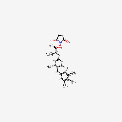 C=C(ON1C(=O)CCC1=O)C(Cc1cc(C)c(Cc2cc(C)c(C)c(C)c2)c(C)c1)NC(C)=O